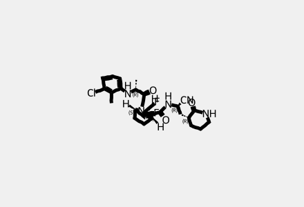 Cc1c(Cl)cccc1N[C@H](C)C(=O)N1[C@H]2CC[C@@H]([C@@H]1C(=O)N[C@@H](C#N)C[C@H]1CCCNC1=O)C(F)(F)C2